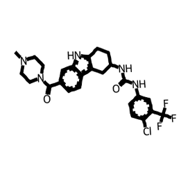 CN1CCN(C(=O)c2ccc3c4c([nH]c3c2)CCC(NC(=O)Nc2ccc(Cl)c(C(F)(F)F)c2)C4)CC1